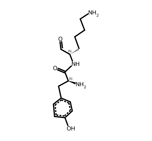 NCCCC[C@@H](C=O)NC(=O)[C@@H](N)Cc1ccc(O)cc1